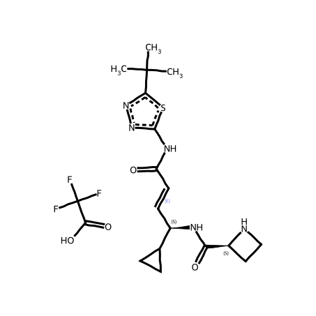 CC(C)(C)c1nnc(NC(=O)/C=C/[C@@H](NC(=O)[C@@H]2CCN2)C2CC2)s1.O=C(O)C(F)(F)F